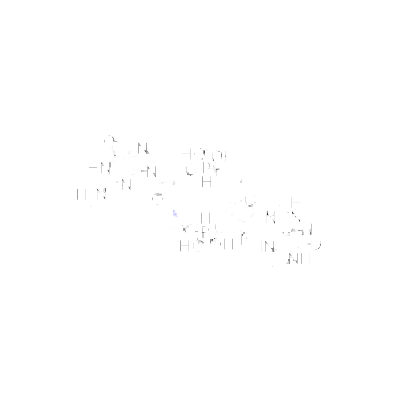 Nc1nc2c(ncn2C2=C3C/C(=C\O[PH](O)(O)Oc4c(oc(N5CN[C@@H]6C(=O)NCNC65)c4F)CO[PH](O)(O)O3)O2)c(=O)[nH]1